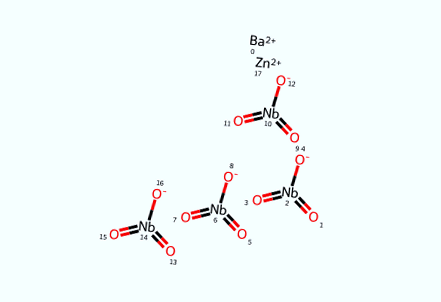 [Ba+2].[O]=[Nb](=[O])[O-].[O]=[Nb](=[O])[O-].[O]=[Nb](=[O])[O-].[O]=[Nb](=[O])[O-].[Zn+2]